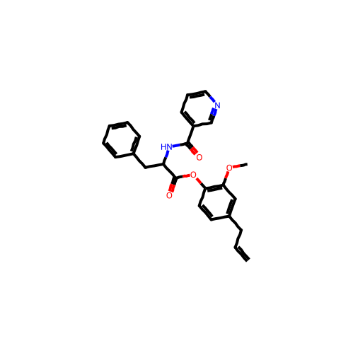 C=CCc1ccc(OC(=O)C(Cc2ccccc2)NC(=O)c2cccnc2)c(OC)c1